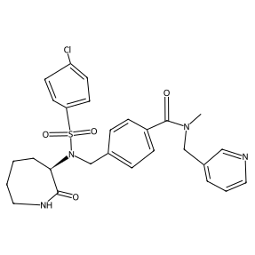 CN(Cc1cccnc1)C(=O)c1ccc(CN([C@@H]2CCCCNC2=O)S(=O)(=O)c2ccc(Cl)cc2)cc1